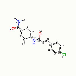 C[C@@H]1C[C@@H](C(=O)N(C)C)CC[C@@H]1NC(=O)/C=C/c1ccc(Cl)cc1